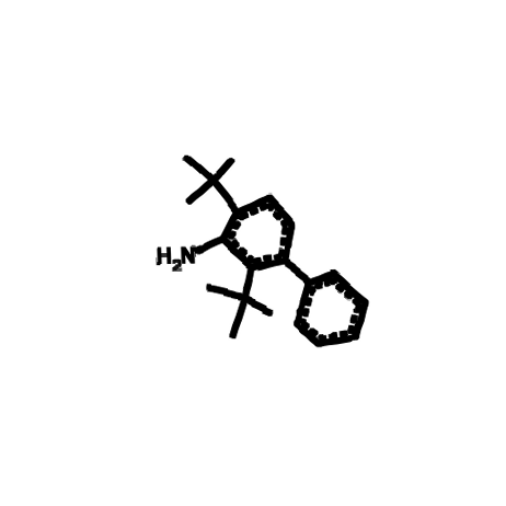 CC(C)(C)c1ccc(-c2ccccc2)c(C(C)(C)C)c1N